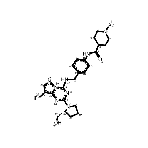 CC(=O)N1CCC(C(=O)Nc2ccc(CNc3nc(N4CCC[C@@H]4CO)nc4c(C(C)C)cnn34)cc2)CC1